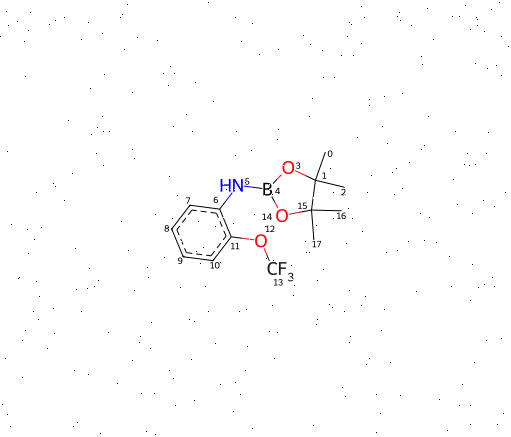 CC1(C)OB(Nc2ccccc2OC(F)(F)F)OC1(C)C